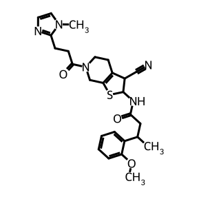 COc1ccccc1C(C)CC(=O)NC1SC2=C(CCN(C(=O)CCc3nccn3C)C2)C1C#N